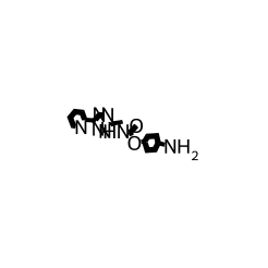 Nc1ccc(OC(=O)NCc2nnc(-c3ccccn3)nn2)cc1